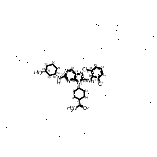 NC(=O)[C@H]1CC[C@@H](n2c(Nc3c(Cl)cccc3Cl)nc3cnc(N[C@H]4CCC[C@@H](O)C4)nc32)CC1